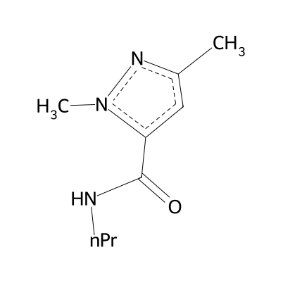 CCCNC(=O)c1cc(C)nn1C